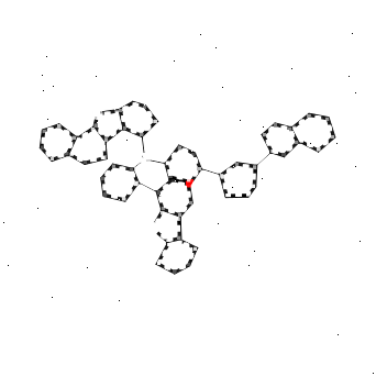 c1cc(-c2ccc(N(c3ccccc3-c3cccc4c3oc3ccccc34)c3cccc4oc5c6ccccc6ccc5c34)cc2)cc(-c2ccc3ccccc3c2)c1